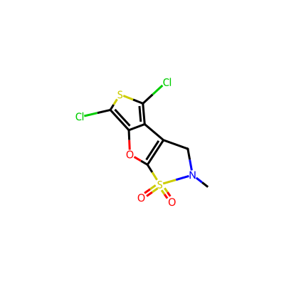 CN1Cc2c(oc3c(Cl)sc(Cl)c23)S1(=O)=O